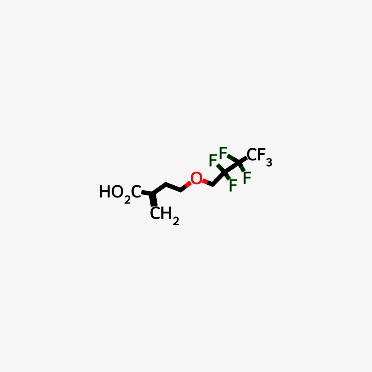 C=C(CCOCC(F)(F)C(F)(F)C(F)(F)F)C(=O)O